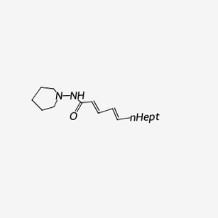 CCCCCCC/C=C/C=C/C(=O)NN1CCCCC1